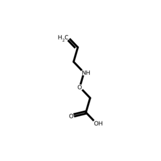 C=CCNOCC(=O)O